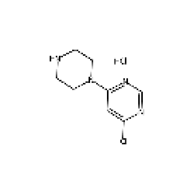 Cl.Clc1cc(N2CCNCC2)ncn1